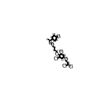 CC(=NOCCCCOc1c(Cl)cc(OCC=C(Cl)Cl)cc1Cl)c1ccc(Cl)cc1